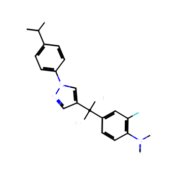 CC(C)c1ccc(-n2cc(C(C)(C)c3ccc(N(C)C)c(F)c3)cn2)cc1